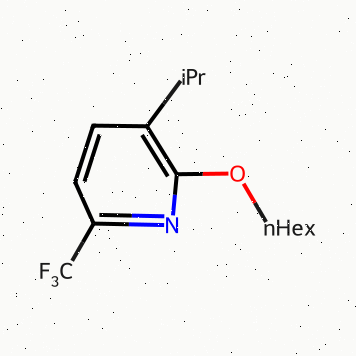 CCCCCCOc1nc(C(F)(F)F)ccc1C(C)C